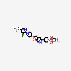 CS(=O)(=O)N1CC=C(c2cc3c(cn2)O[C@@H](C2CCN(c4ncc(C(F)(F)F)cc4F)CC2)C3)CC1